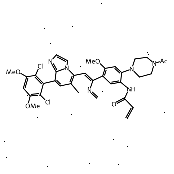 C=CC(=O)Nc1cc(/C(=C/c2c(C)cc(-c3c(Cl)c(OC)cc(OC)c3Cl)c3nccn23)N=C)c(OC)cc1N1CCN(C(C)=O)CC1